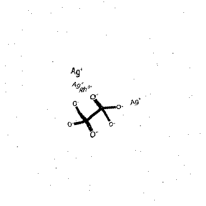 [Ag+].[Ag+].[Ag+].[O-]C([O-])([O-])C([O-])([O-])[O-].[Rh+3]